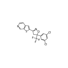 FC(F)(F)C1(c2cc(Cl)cc(Cl)c2)CC(c2cc3ccncc3s2)=NO1